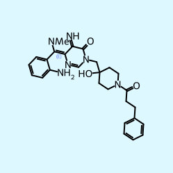 CN/C(=C1/N=CN(CC2(O)CCN(C(=O)CCc3ccccc3)CC2)C(=O)C1=N)c1ccccc1N